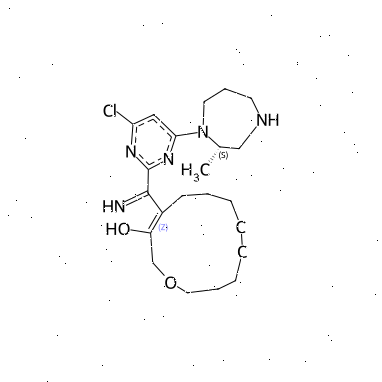 C[C@H]1CNCCCN1c1cc(Cl)nc(C(=N)/C2=C(\O)COCCCCCCCC2)n1